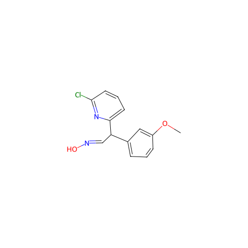 COc1cccc(C(C=NO)c2cccc(Cl)n2)c1